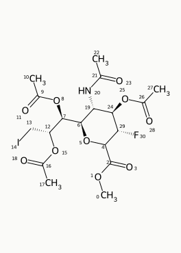 COC(=O)C1O[C@@H]([C@H](OC(C)=O)[C@@H](CI)OC(C)=O)[C@H](NC(C)=O)[C@@H](OC(C)=O)[C@@H]1F